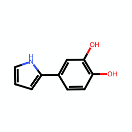 Oc1ccc(-c2ccc[nH]2)cc1O